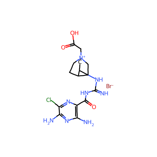 N=C(NC(=O)c1nc(Cl)c(N)nc1N)NC1C[N+]2(CC(=O)O)CCC1CC2.[Br-]